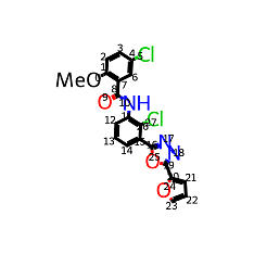 COc1ccc(Cl)cc1C(=O)Nc1cccc(-c2nnc(-c3ccco3)o2)c1Cl